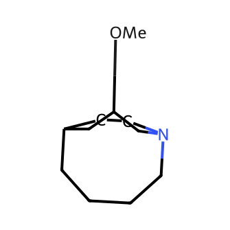 COC1CC2CCCCN(CC2)C1